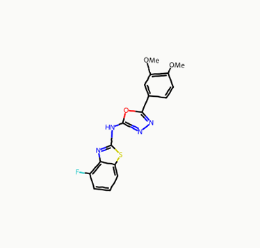 COc1ccc(-c2nnc(Nc3nc4c(F)cccc4s3)o2)cc1OC